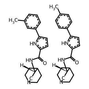 Cc1ccc(-c2ccc(C(=O)N[C@H]3CN4CCC3CC4)[nH]2)cc1.Cc1cccc(-c2ccc(C(=O)N[C@H]3CN4CCC3CC4)[nH]2)c1